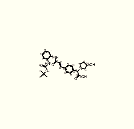 CC(C)(C)OC(=O)Nc1ccccc1NC(=O)/C=C/c1ccc(C(C(=O)O)N2CCC(O)C2)cc1